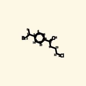 CC(Br)c1ccc(C(=O)CCCCl)cc1